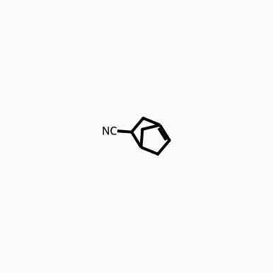 N#CC1CC2=CCC1C2